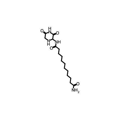 NC(=O)CCCCCCCCCCC(=O)NC1NCC(=O)NC1=O